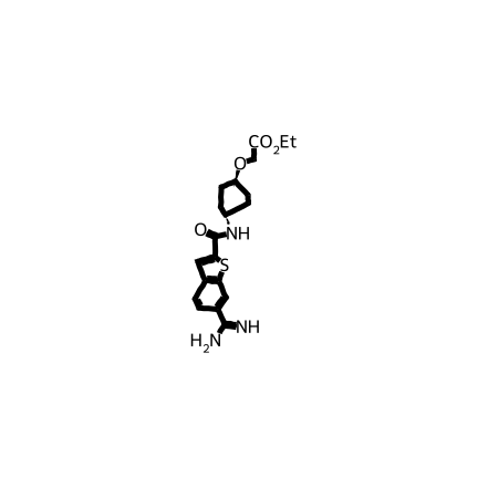 CCOC(=O)CO[C@H]1CC[C@H](NC(=O)c2cc3ccc(C(=N)N)cc3s2)CC1